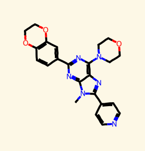 Cn1c(-c2ccncc2)nc2c(N3CCOCC3)nc(-c3ccc4c(c3)OCCO4)nc21